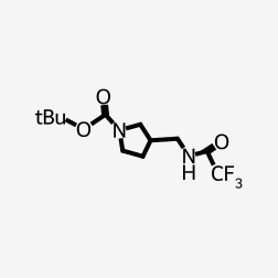 CC(C)(C)OC(=O)N1CCC(CNC(=O)C(F)(F)F)C1